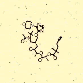 C#CCCC(C)(C)C(=O)O[C@@H](C)C(=O)O[C@@H](C)C(=O)C[C@H](COc1nsnc1N1CCOCC1)CN(C(C)=O)C(C)(C)C